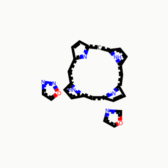 C1=Cc2cc3ccc(cc4nc(cc5ccc(cc1n2)[nH]5)C=C4)[nH]3.c1cocn1.c1conn1